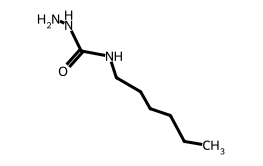 CCCCCCNC(=O)NN